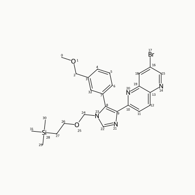 COCc1cccc(-c2c(-c3ccc4ncc(Br)cc4n3)ncn2COCC[Si](C)(C)C)c1